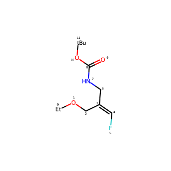 CCOC/C(=C\F)CNC(=O)OC(C)(C)C